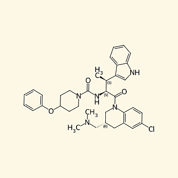 C[C@@H](c1c[nH]c2ccccc12)[C@H](NC(=O)N1CCC(Oc2ccccc2)CC1)C(=O)N1C[C@@H](CN(C)C)Cc2cc(Cl)ccc21